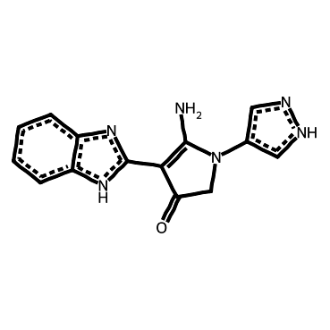 NC1=C(c2nc3ccccc3[nH]2)C(=O)CN1c1cn[nH]c1